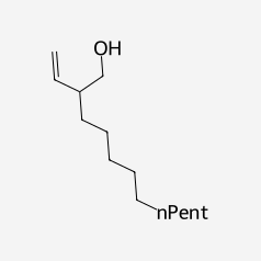 C=CC(CO)CCCCCCCCCC